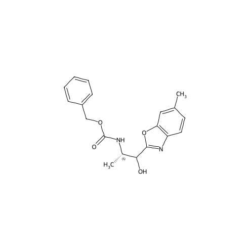 Cc1ccc2nc(C(O)[C@H](C)NC(=O)OCc3ccccc3)oc2c1